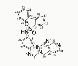 N#CNN(/C=N\c1ccc(NS(=O)(=O)c2ccccc2-c2ccccc2)cc1)Cc1ccncc1